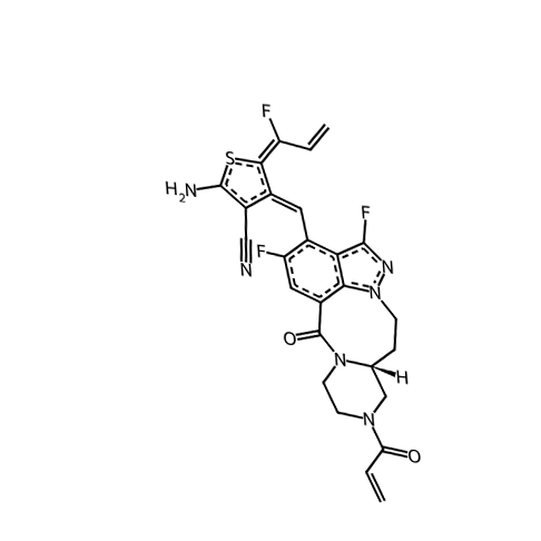 C=CC(=O)N1CCN2C(=O)c3cc(F)c(/C=c4\c(C#N)c(N)s\c4=C(/F)C=C)c4c(F)nn(c34)CC[C@@H]2C1